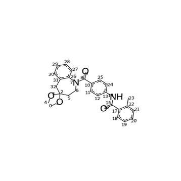 COC1(OC)CCN(C(=O)c2ccc(NC(=O)c3ccccc3C)cc2)c2ccccc2C1